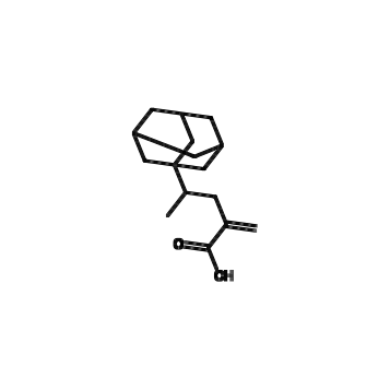 C=C(CC(C)C12CC3CC(CC(C3)C1)C2)C(=O)O